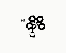 Br.c1ccc(P(CCC2OCCO2)(c2ccccc2)(c2ccccc2)c2ccccc2)cc1